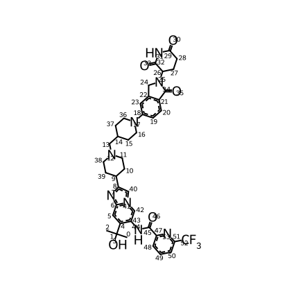 CC(C)(O)c1cc2nc(C3CCN(CC4CCN(c5ccc6c(c5)CN(C5CCC(=O)NC5=O)C6=O)CC4)CC3)cn2cc1NC(=O)c1cccc(C(F)(F)F)n1